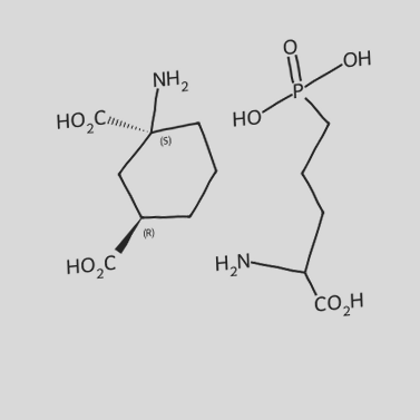 NC(CCCP(=O)(O)O)C(=O)O.N[C@@]1(C(=O)O)CCC[C@@H](C(=O)O)C1